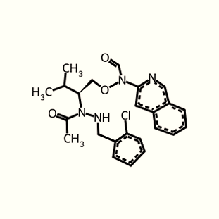 CC(=O)N(NCc1ccccc1Cl)[C@H](CON(C=O)c1cc2ccccc2cn1)C(C)C